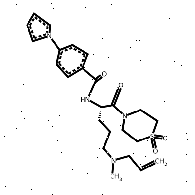 C=CCN(C)CCC[C@H](NC(=O)c1ccc(-n2cccc2)cc1)C(=O)N1CCS(=O)(=O)CC1